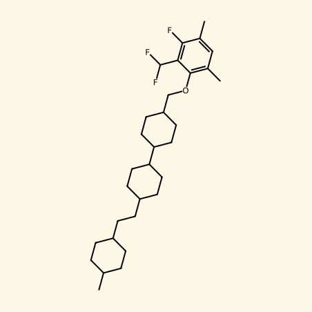 Cc1cc(C)c(OCC2CCC(C3CCC(CCC4CCC(C)CC4)CC3)CC2)c(C(F)F)c1F